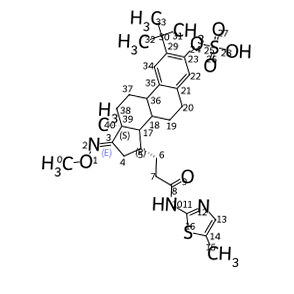 CO/N=C1\C[C@@H](CCC(=O)Nc2ncc(C)s2)C2C3CCc4cc(OS(=O)(=O)O)c(C(C)(C)C)cc4C3CC[C@]12C